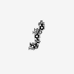 CC(C)[C@H](NC(=O)c1csc(-c2ccc(NC(=O)Nc3cccc(C(F)(F)F)c3)cc2)n1)C(=O)O